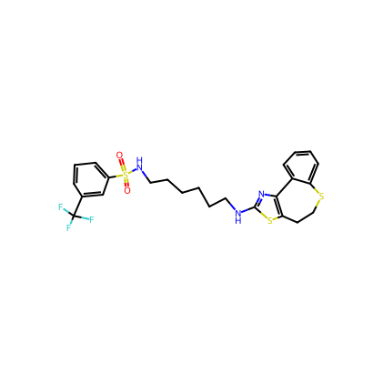 O=S(=O)(NCCCCCCNc1nc2c(s1)CCSc1ccccc1-2)c1cccc(C(F)(F)F)c1